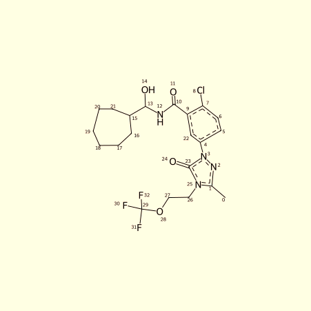 Cc1nn(-c2ccc(Cl)c(C(=O)NC(O)C3CCCCCC3)c2)c(=O)n1CCOC(F)(F)F